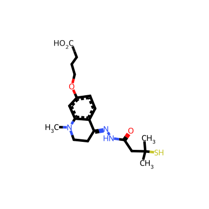 CN1CC/C(=N\NC(=O)CC(C)(C)S)c2ccc(OCCCC(=O)O)cc21